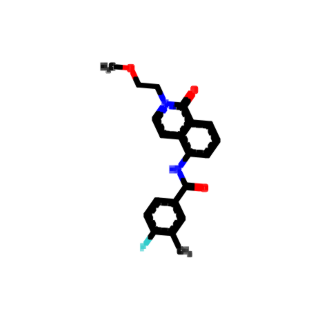 COCCn1ccc2c(NC(=O)c3ccc(F)c(C)c3)cccc2c1=O